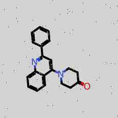 O=C1CCN(c2cc(-c3ccccc3)nc3ccccc23)CC1